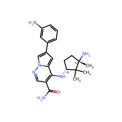 CC1(C)[C@H](Nc2c(C(N)=O)cnn3cc(-c4cccc(N)c4)cc23)CC[C@]1(C)N